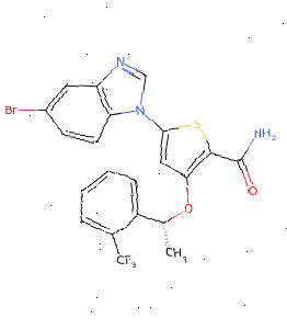 C[C@@H](Oc1cc(-n2cnc3cc(Br)ccc32)sc1C(N)=O)c1ccccc1C(F)(F)F